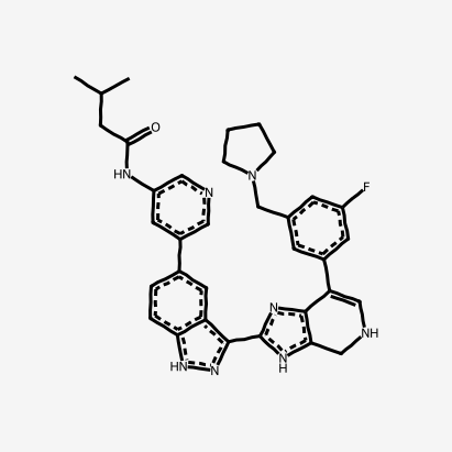 CC(C)CC(=O)Nc1cncc(-c2ccc3[nH]nc(-c4nc5c([nH]4)CNC=C5c4cc(F)cc(CN5CCCC5)c4)c3c2)c1